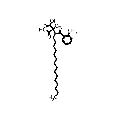 CCCCCCCCCCCCCCCC1C(c2ccccc2C)=NOC1(C(=O)O)C(=O)O